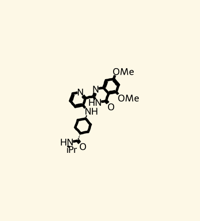 COc1cc(OC)c2c(=O)[nH]c(-c3ncccc3N[C@H]3CC[C@@H](C(=O)NC(C)C)CC3)nc2c1